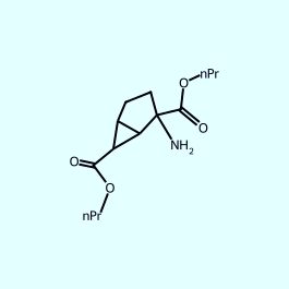 CCCOC(=O)C1C2CCC(N)(C(=O)OCCC)C21